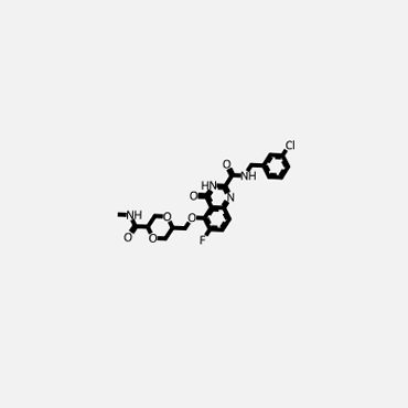 CNC(=O)C1COC(COc2c(F)ccc3nc(C(=O)NCc4cccc(Cl)c4)[nH]c(=O)c23)CO1